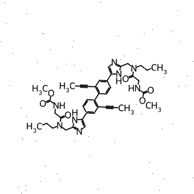 CC#Cc1cc(-c2cnc(CN(CCC)C(=O)CNC(=O)OC)[nH]2)ccc1-c1ccc(-c2cnc(CN(CCC)C(=O)CNC(=O)OC)[nH]2)cc1C#CC